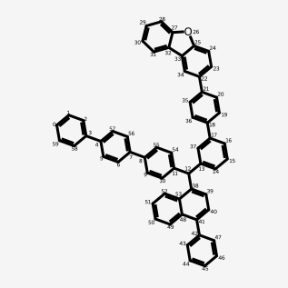 c1ccc(-c2ccc(-c3ccc(C(c4cccc(-c5ccc(-c6ccc7oc8ccccc8c7c6)cc5)c4)c4ccc(-c5ccccc5)c5ccccc45)cc3)cc2)cc1